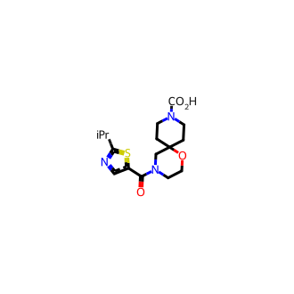 CC(C)c1ncc(C(=O)N2CCOC3(CCN(C(=O)O)CC3)C2)s1